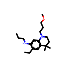 CCCNc1cc2c(cc1CC)C(C)(C)CCN2CCCOC